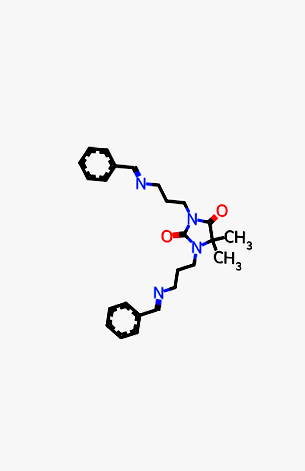 CC1(C)C(=O)N(CCCN=Cc2ccccc2)C(=O)N1CCCN=Cc1ccccc1